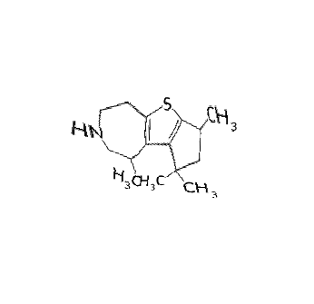 CC1CC(C)(C)c2c1sc1c2C(C)CNCC1